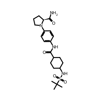 CC(C)(C)S(=O)(=O)NC1CCC(C(=O)Nc2ccc(N3CCC[C@H]3C(N)=O)cc2)CC1